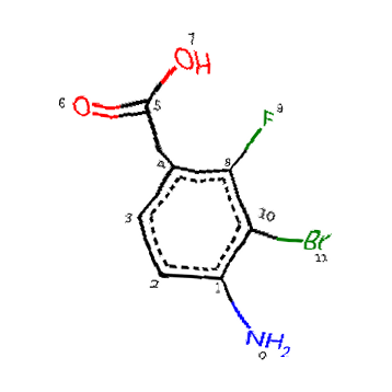 Nc1ccc(C(=O)O)c(F)c1Br